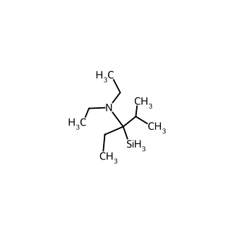 CCN(CC)C([SiH3])(CC)C(C)C